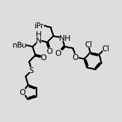 CCCCC(NC(=O)C(CC(C)C)NC(=O)COc1cccc(Cl)c1Cl)C(=O)CSCc1ccco1